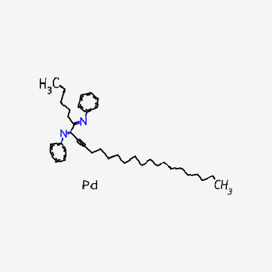 CCCCCCCCCCCCCCCCCC#CC(=N\c1ccccc1)/C(CCCCC)=N/c1ccccc1.[Pd]